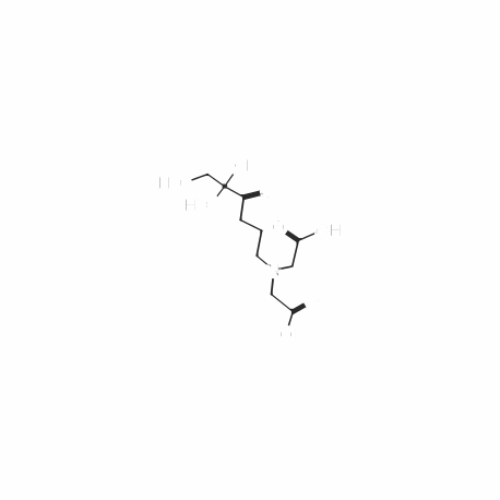 CCC(C)(C)C(=O)CCCN(CC(=O)O)CC(=O)O